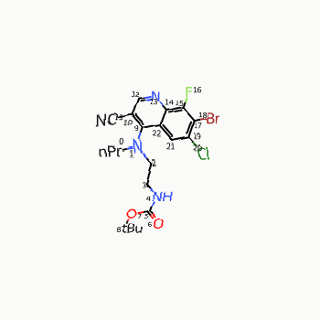 CCCN(CCNC(=O)OC(C)(C)C)c1c(C#N)cnc2c(F)c(Br)c(Cl)cc12